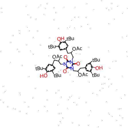 CC(=O)OC(Cc1cc(C(C)(C)C)c(O)c(C(C)(C)C)c1)Cn1c(=O)n(CC(Cc2cc(C(C)(C)C)c(O)c(C(C)(C)C)c2)OC(C)=O)c(=O)n(CC(Cc2cc(C(C)(C)C)c(O)c(C(C)(C)C)c2)OC(C)=O)c1=O